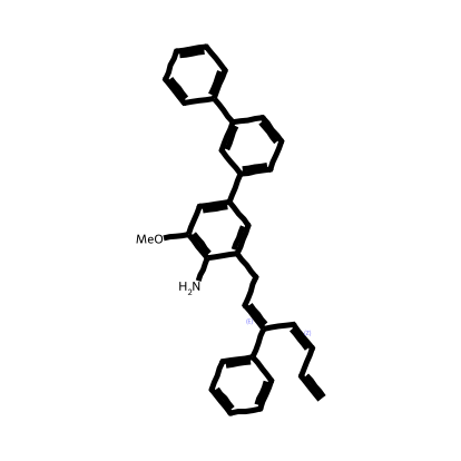 C=C/C=C\C(=C/Cc1cc(-c2cccc(-c3ccccc3)c2)cc(OC)c1N)c1ccccc1